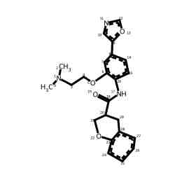 CN(C)CCOc1cc(-c2cnco2)ccc1NC(=O)C1COc2ccccc2C1